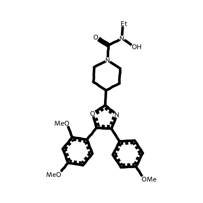 CCN(O)C(=O)N1CCC(c2nc(-c3ccc(OC)cc3)c(-c3ccc(OC)cc3OC)o2)CC1